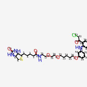 O=C(CCCCC1SCC2NC(=O)NC21)NCCOCCOCCCCCOc1cccc(Nc2ccccc2C(=O)CCl)c1